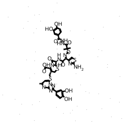 Cc1cc(SCC2=C(C(=O)O)N3C(=O)[C@@H](NC(=O)C(=NOC(C)(C)C(=O)NNC(=O)c4ccc(O)c(O)c4)c4csc(N)n4)[C@H]3SC2)n2nc(-c3ccc(O)c(O)c3)nc2n1